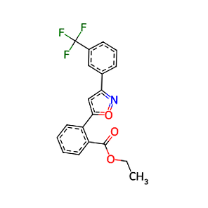 CCOC(=O)c1ccccc1-c1cc(-c2cccc(C(F)(F)F)c2)no1